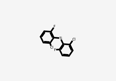 Fc1cccc(Cl)[c]1[Ti][c]1c(F)cccc1Cl